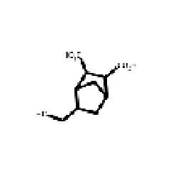 O=C(O)C1C2CC(CO)C(C2)C1C(=O)O